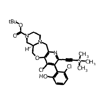 CC(C)(C)OC(=O)N1CCN2Cc3nc(C#CS(C)(C)C)c(-c4c(O)cccc4Cl)c(Cl)c3OC[C@H]2C1